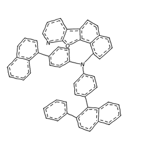 c1ccc(-c2ccc3ccccc3c2-c2ccc(N(c3ccc(-c4cccc5ccccc45)cc3)c3cccc4ccc5c6cccnc6oc5c34)cc2)cc1